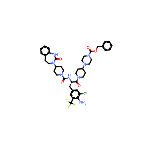 Nc1c(Cl)cc(C[C@@H](NC(=O)N2CCC(N3CCc4ccccc4NC3=O)CC2)C(=O)N2CCC(N3CCN(C(=O)OCc4ccccc4)CC3)CC2)cc1C(F)(F)F